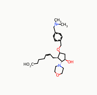 CN(C)Cc1ccc(CO[C@H]2C[C@@H](O)[C@H](N3CCOCC3)[C@H]2C/C=C\CCCC(=O)O)cc1